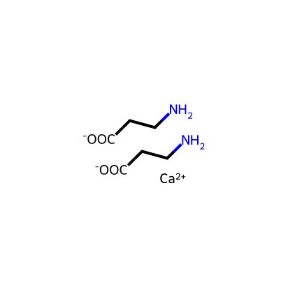 NCCC(=O)[O-].NCCC(=O)[O-].[Ca+2]